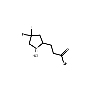 Cl.O=C(O)CCC1CC(F)(F)CN1